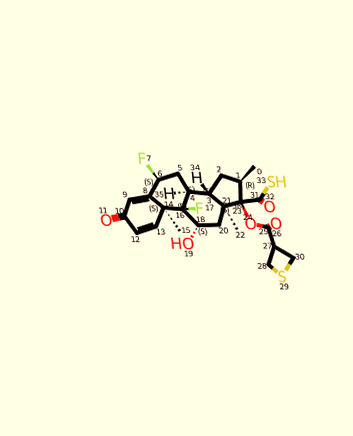 C[C@@H]1C[C@H]2[C@@H]3C[C@H](F)C4=CC(=O)C=C[C@]4(C)[C@@]3(F)[C@@H](O)C[C@]2(C)[C@@]1(OC(=O)C1CSC1)C(=O)S